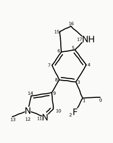 CC(F)c1cc2c(cc1-c1cnn(C)c1)CCN2